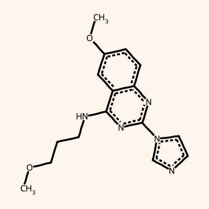 COCCCNc1nc(-n2ccnc2)nc2ccc(OC)cc12